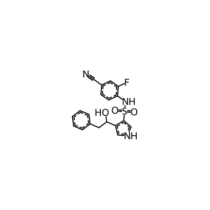 N#Cc1ccc(NS(=O)(=O)c2c[nH]cc2C(O)Cc2ccccc2)c(F)c1